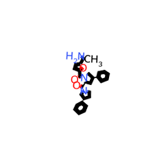 C[C@@H](N)c1ccc(C(=O)N2C[C@@H](c3ccccc3)C[C@H]2C(=O)N2CC[C@H](c3ccccc3)C2)o1